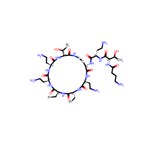 CC(C)C[C@@H]1NC(=O)[C@@H](CC(C)C)NC(=O)[C@H](CCN)NC(=O)[C@@H](NC(=O)[C@H](CCN)NC(=O)[C@@H](NC(=O)CCCN)C(C)O)CCNC(=O)[C@H](C(C)O)NC(=O)[C@H](CCN)NC(=O)[C@H](CCN)NC1=O